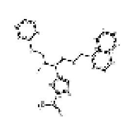 C[C@H](OCc1ccccc1)[C@@H](CCCc1cccc2ccccc12)n1cnc(C(N)=O)c1